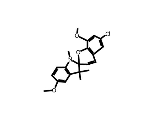 COc1ccc2c(c1)C(C)(C)C1(C=Cc3cc(Cl)cc(OC)c3O1)N2C